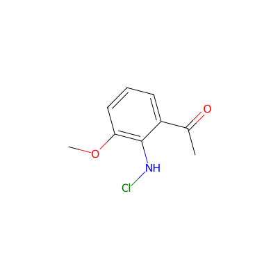 COc1cccc(C(C)=O)c1NCl